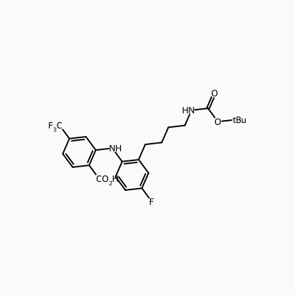 CC(C)(C)OC(=O)NCCCCc1cc(F)ccc1Nc1cc(C(F)(F)F)ccc1C(=O)O